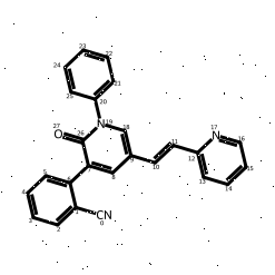 N#Cc1ccccc1-c1cc(/C=C/c2ccccn2)cn(-c2ccccc2)c1=O